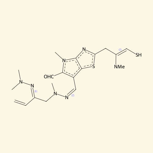 C=C/C(CN(C)/N=C\c1c(C=O)n(C)c2nc(C/C(=C/S)NC)sc12)=N\N(C)C